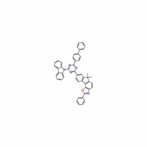 CC1(C)c2cc(-c3nc(-c4ccc(-c5ccccc5)cc4)nc(-n4c5ccccc5c5ccccc54)n3)ccc2-c2c1ccc1nc(-c3ccccc3)oc21